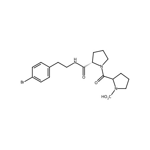 O=C(NCCc1ccc(Br)cc1)[C@@H]1CCCN1C(=O)C1CCCN1C(=O)O